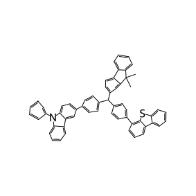 CC1(C)c2ccccc2-c2ccc(C(c3ccc(-c4ccc5c(c4)c4ccccc4n5-c4ccccc4)cc3)c3ccc(-c4cccc5c4sc4ccccc45)cc3)cc21